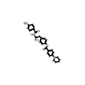 CC(C)(C)c1ccc(C(=O)N[C@@H](Cc2ccc(OC(=O)c3ccc(N4CCCCC4)cc3)cc2)C(=O)O)cc1